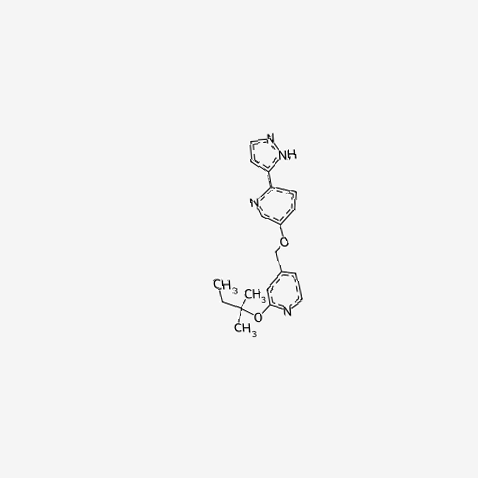 CCC(C)(C)Oc1cc(COc2ccc(-c3ccn[nH]3)nc2)ccn1